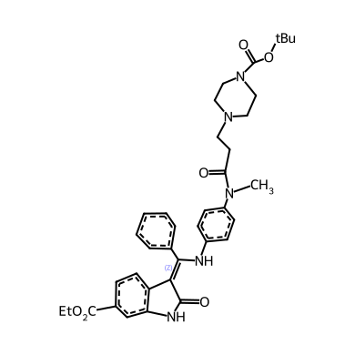 CCOC(=O)c1ccc2c(c1)NC(=O)/C2=C(\Nc1ccc(N(C)C(=O)CCN2CCN(C(=O)OC(C)(C)C)CC2)cc1)c1ccccc1